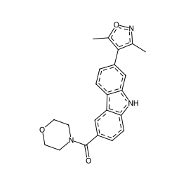 Cc1noc(C)c1-c1ccc2c(c1)[nH]c1ccc(C(=O)N3CCOCC3)cc12